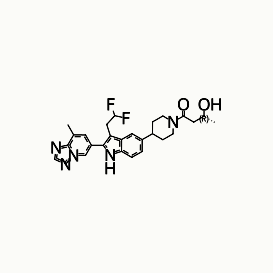 Cc1cc(-c2[nH]c3ccc(C4CCN(C(=O)C[C@@H](C)O)CC4)cc3c2CC(F)F)cn2ncnc12